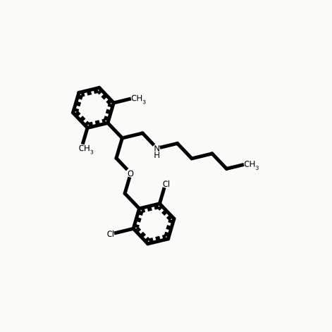 CCCCCNCC(COCc1c(Cl)cccc1Cl)c1c(C)cccc1C